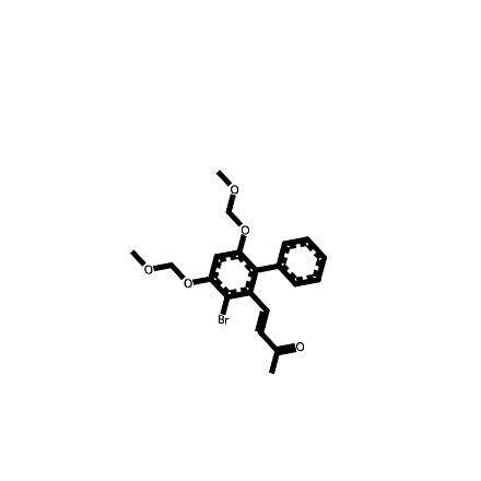 COCOc1cc(OCOC)c(-c2ccccc2)c(C=CC(C)=O)c1Br